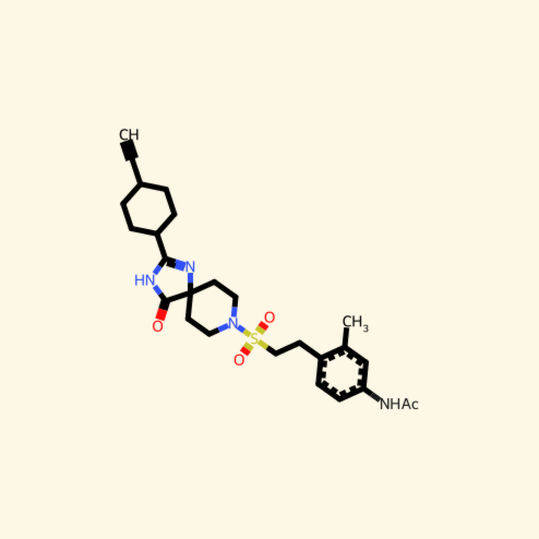 C#CC1CCC(C2=NC3(CCN(S(=O)(=O)CCc4ccc(NC(C)=O)cc4C)CC3)C(=O)N2)CC1